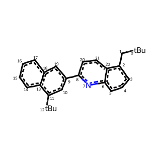 CC(C)(C)Cc1cccc2nc(-c3cc(C(C)(C)C)c4ccccc4c3)ccc12